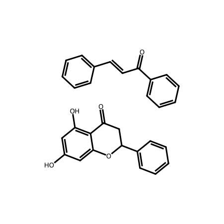 O=C(C=Cc1ccccc1)c1ccccc1.O=C1CC(c2ccccc2)Oc2cc(O)cc(O)c21